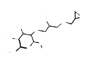 COC1OC(C)[C@@H](C)C(O)C1OCC(O)COCC1CO1